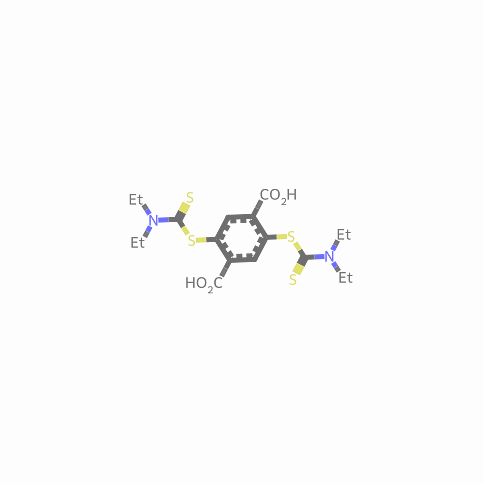 CCN(CC)C(=S)Sc1cc(C(=O)O)c(SC(=S)N(CC)CC)cc1C(=O)O